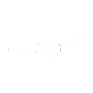 C=CN(/C=N\CCC(CCCN)C(=O)O)C1CC(CC)C1